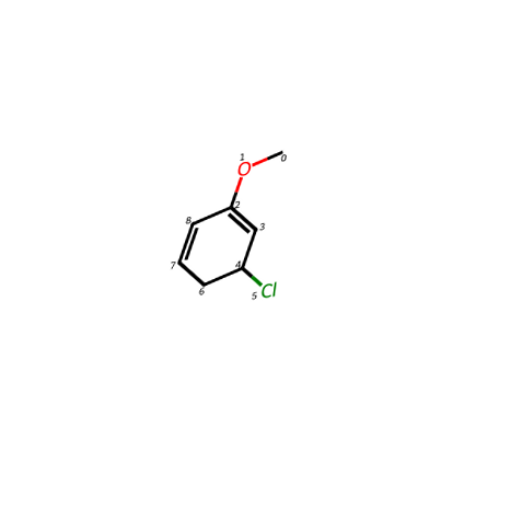 COC1=CC(Cl)CC=C1